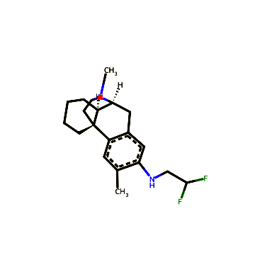 Cc1cc2c(cc1NCC(F)F)C[C@H]1[C@@H]3CCCC[C@]23CCN1C